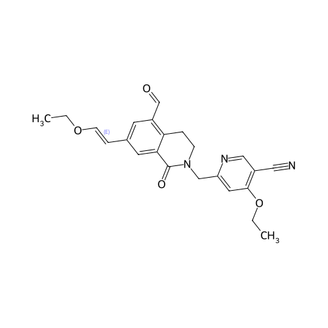 CCO/C=C/c1cc(C=O)c2c(c1)C(=O)N(Cc1cc(OCC)c(C#N)cn1)CC2